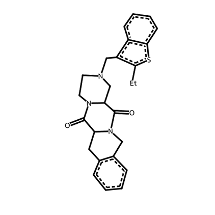 CCc1sc2ccccc2c1CN1CCN2C(=O)C3Cc4ccccc4CN3C(=O)C2C1